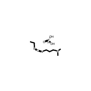 CCN=C=NCCCN(C)C.O=[PH](O)O